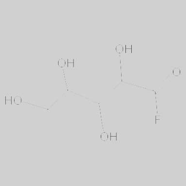 O=C(F)C(O)C(O)C(O)CO